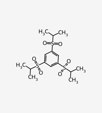 CC(C)S(=O)(=O)c1cc(S(=O)(=O)C(C)C)cc(S(=O)(=O)C(C)C)c1